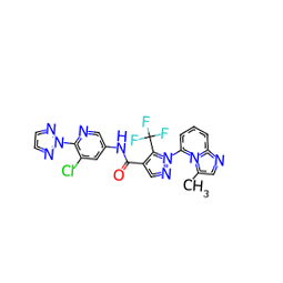 Cc1cnc2cccc(-n3ncc(C(=O)Nc4cnc(-n5nccn5)c(Cl)c4)c3C(F)(F)F)n12